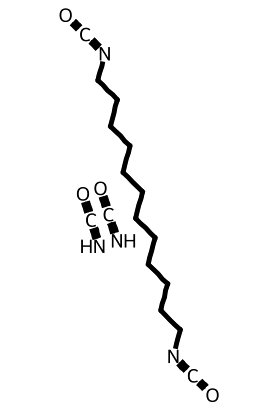 N=C=O.N=C=O.O=C=NCCCCCCCCCCCCN=C=O